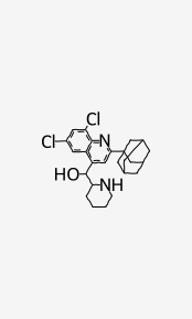 OC(c1cc(C23CC4CC(CC(C4)C2)C3)nc2c(Cl)cc(Cl)cc12)C1CCCCN1